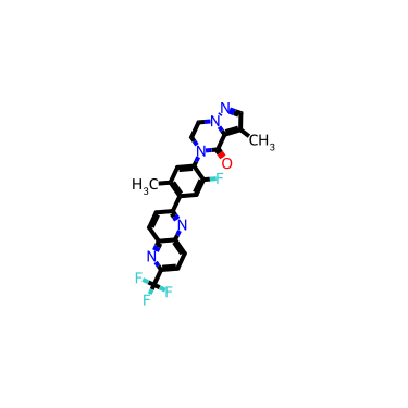 Cc1cc(N2CCn3ncc(C)c3C2=O)c(F)cc1-c1ccc2nc(C(F)(F)F)ccc2n1